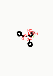 O=C(OC[C@H]1O[C@@](O)(Br)[C@](O)(F)[C@@H]1OC(=O)c1ccccc1)c1ccccc1